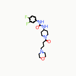 O=C(Nc1ccc(F)c(F)c1)NC1CCN(C(=O)CCCN2CCOCC2)CC1